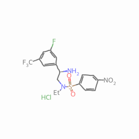 CCN(C[C@H](N)c1cc(F)cc(C(F)(F)F)c1)S(=O)(=O)c1ccc([N+](=O)[O-])cc1.Cl